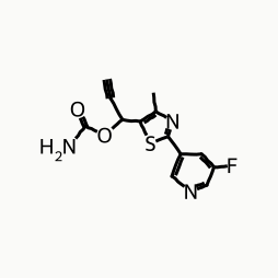 C#CC(OC(N)=O)c1sc(-c2cncc(F)c2)nc1C